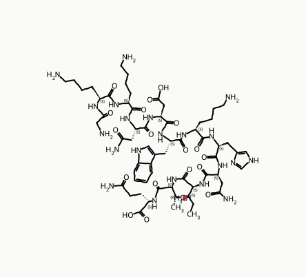 CC[C@H](C)[C@H](NC(=O)[C@H](CC(N)=O)NC(=O)[C@H](Cc1c[nH]cn1)NC(=O)[C@H](CCCCN)NC(=O)[C@H](Cc1c[nH]c2ccccc12)NC(=O)[C@H](CC(=O)O)NC(=O)[C@H](CC(N)=O)NC(=O)[C@H](CCCCN)NC(=O)[C@H](CCCCN)NC(=O)CN)C(=O)N[C@H](C(=O)N[C@@H](CCC(N)=O)C(=O)O)[C@@H](C)O